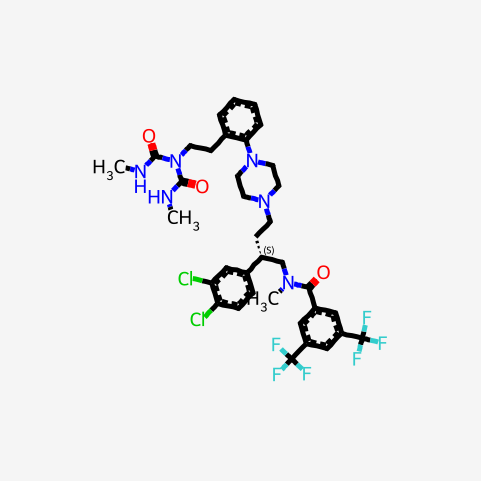 CNC(=O)N(CCc1ccccc1N1CCN(CC[C@H](CN(C)C(=O)c2cc(C(F)(F)F)cc(C(F)(F)F)c2)c2ccc(Cl)c(Cl)c2)CC1)C(=O)NC